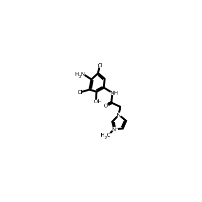 C[n+]1ccn(CC(=O)Nc2cc(Cl)c(N)c(Cl)c2O)c1